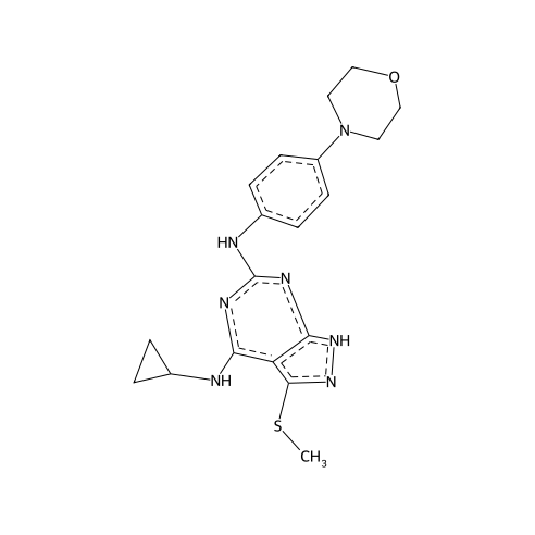 CSc1n[nH]c2nc(Nc3ccc(N4CCOCC4)cc3)nc(NC3CC3)c12